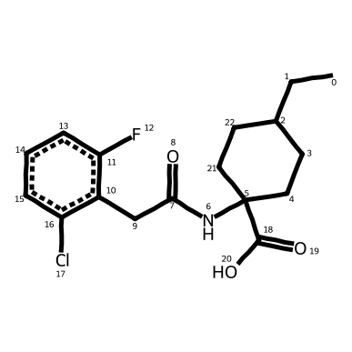 CCC1CCC(NC(=O)Cc2c(F)cccc2Cl)(C(=O)O)CC1